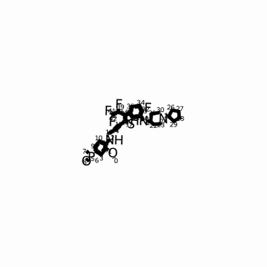 COc1cc(P(C)(C)=O)ccc1NCC#Cc1sc2c(NC3CCN(C4CCCC4)CC3F)cccc2c1C(F)C(F)F